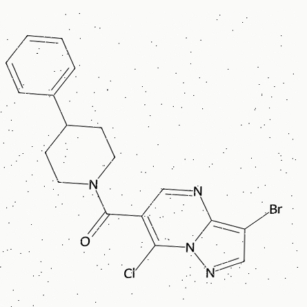 O=C(c1cnc2c(Br)cnn2c1Cl)N1CCC(c2ccccc2)CC1